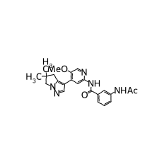 COc1cnc(NC(=O)c2cccc(NC(C)=O)c2)cc1-c1cnn2c1CC(C)(C)C2